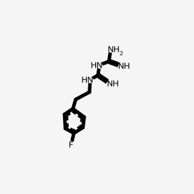 N=C(N)NC(=N)NCCc1ccc(F)cc1